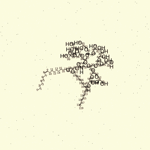 CCCCCCCC/C=C\CCCCCCCCOCC(COC(=O)NC(COC(COC(COCC(O)CO)COCC(O)CO)COC(COCC(O)CO)COCC(O)CO)COC(COC(COCC(O)CO)COCC(O)CO)COC(COCC(O)CO)COCC(O)CO)OCCCCCCCC/C=C\CCCCCCCC